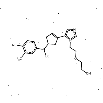 CCN(c1ccc(C#N)c(C(F)(F)F)c1)C1CC=C(c2cncn2CCOCCO)C1